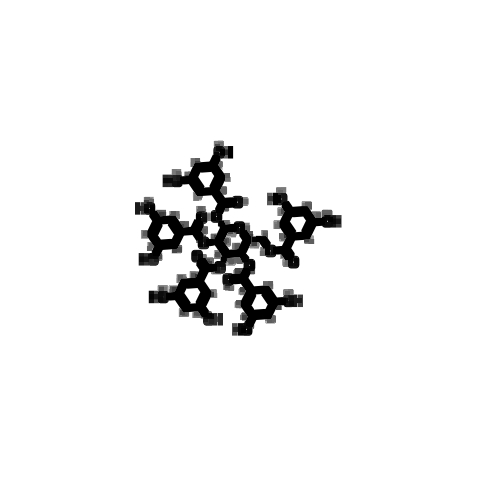 O=C(OC[C@H]1O[C@@H](OC(=O)c2cc(O)cc(O)c2)[C@H](OC(=O)c2cc(O)cc(O)c2)[C@@H](OC(=O)c2cc(O)cc(O)c2)[C@@H]1OC(=O)c1cc(O)cc(O)c1)c1cc(O)cc(O)c1